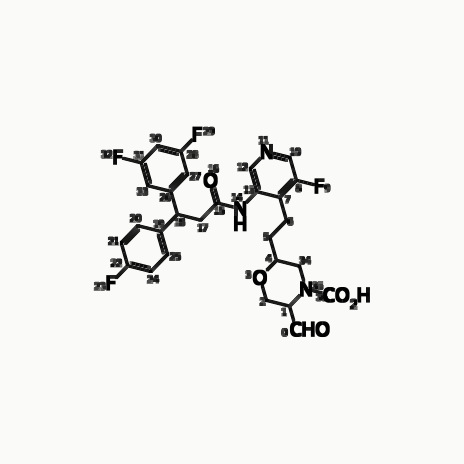 O=CC1COC(CCc2c(F)cncc2NC(=O)CC(c2ccc(F)cc2)c2cc(F)cc(F)c2)CN1C(=O)O